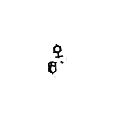 CC1(c2ccc(F)cc2F)CNC(=O)N1C1C2CC3CC1CC(O)(C3)C2